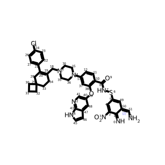 N=C1C([N+](=O)[O-])=CC(SNC(=O)c2ccc(N3CCN(CC4=C(c5ccc(Cl)cc5)CC5(CCC5)CC4)CC3)cc2Oc2cnc3[nH]ccc3c2)=C/C1=C/N